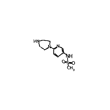 CS(=O)(=O)Nc1ccc(N2CCNCC2)nc1